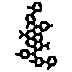 Cc1ccc(N(c2cc(-c3ccccc3C)ccc2C)c2cc(C(C)C)c3ccc4c(N(c5ccc(C)cc5)c5cc(-c6ccccc6C)ccc5C)cc(C(C)C)c5ccc2c3c54)cc1